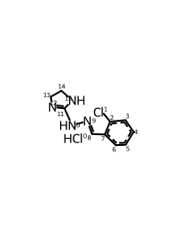 Cl.Clc1ccccc1C=NNC1=NCCN1